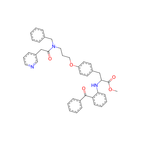 COC(=O)C(Cc1ccc(OCCCN(Cc2ccccc2)C(=O)Cc2cccnc2)cc1)Nc1ccccc1C(=O)c1ccccc1